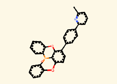 Cc1cccc(-c2ccc(-c3ccc4c5c3Oc3ccccc3P5(=O)c3ccccc3O4)cc2)n1